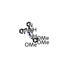 COc1cc(CN/C=C(/CN(Cc2ccccn2)Cc2ccccn2)N=N)cc(OC)c1OC